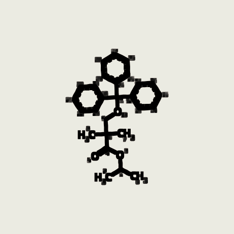 CC(C)OC(=O)C(C)(C)COC(c1ccccc1)(c1ccccc1)c1ccccc1